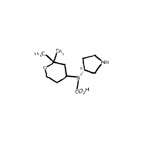 CC1(C)CC(N(C(=O)O)[C@@H]2CCNC2)CCO1